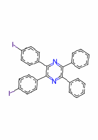 Ic1ccc(-c2nc(-c3ccccc3)c(-c3ccccc3)nc2-c2ccc(I)cc2)cc1